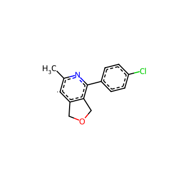 Cc1[c]c2c(c(-c3ccc(Cl)cc3)n1)COC2